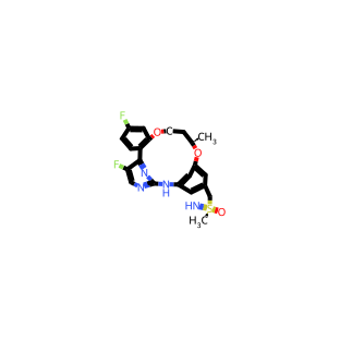 C[C@H]1CCOc2cc(F)ccc2-c2nc(ncc2F)Nc2cc(C[S@@](C)(=N)=O)cc(c2)O1